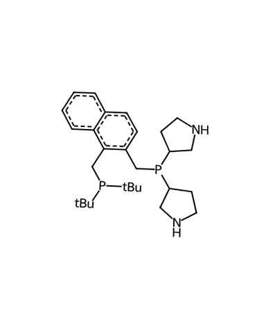 CC(C)(C)P(Cc1c(CP(C2CCNC2)C2CCNC2)ccc2ccccc12)C(C)(C)C